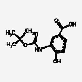 CC(C)(C)OC(=O)Nc1cc(C(=O)O)ccc1O